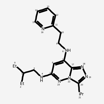 CCC(CC)CNc1cc(NCCc2ccccn2)c2nnc(C(C)C)n2n1